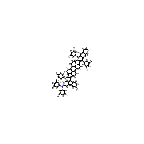 Cc1ccc(-c2c3cc(N(c4cc(C)cc(C)c4)c4cc(C)cc(C)c4)cc4c5cc(C)ccc5c(c34)c3c4ccc5c6ccc7c8c(ccc(c9ccc(c23)c4c95)c86)-c2c-7c(-c3cc(C)cc(C)c3)c3cc4ccccc4cc3c2-c2cc(C)cc(C)c2)cc1